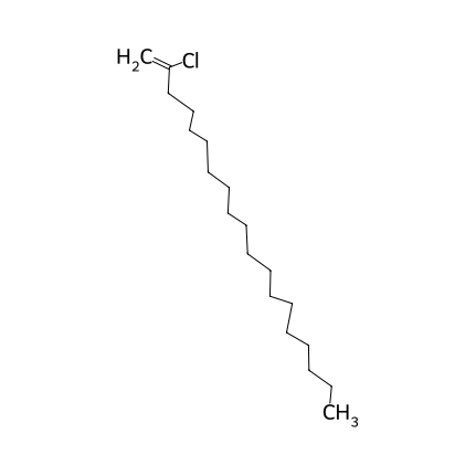 C=C(Cl)CCCCCCCCCCCCCCCCC